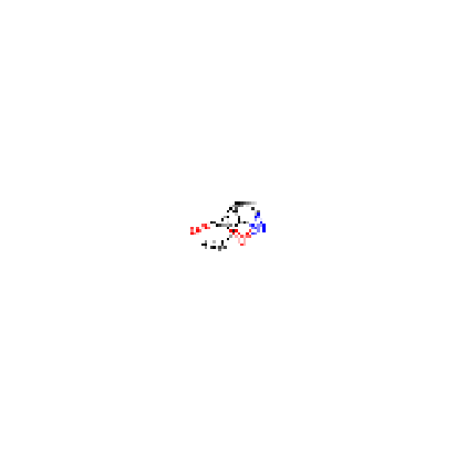 O=C(O)C1c2cn1oc2=O